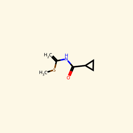 C=C(NC(=O)C1CC1)SC